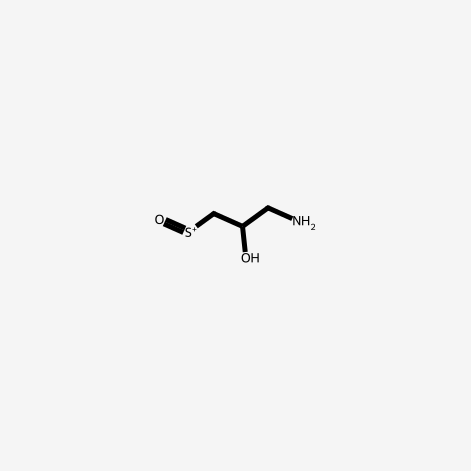 NCC(O)C[S+]=O